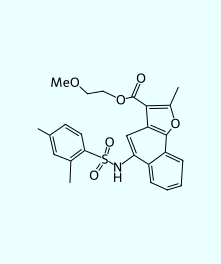 COCCOC(=O)c1c(C)oc2c1cc(NS(=O)(=O)c1ccc(C)cc1C)c1ccccc12